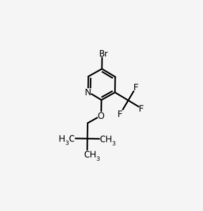 CC(C)(C)COc1ncc(Br)cc1C(F)(F)F